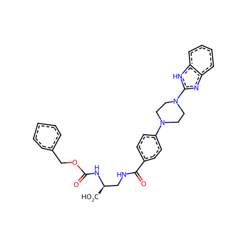 O=C(N[C@@H](CNC(=O)c1ccc(N2CCN(c3nc4ccccc4[nH]3)CC2)cc1)C(=O)O)OCc1ccccc1